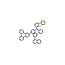 c1cc(-c2ccccc2N(c2ccc(-c3ccc4c5ccccc5c5ccccc5c4c3)cc2)c2cccc3c2sc2ccccc23)cc(-c2cccc3ccccc23)c1